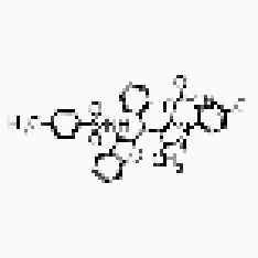 CC(=O)Oc1c(C(c2ccccc2)c2oc3ccccc3c2NS(=O)(=O)c2ccc(C)cc2)c(C)nn1-c1ccc(Cl)cc1